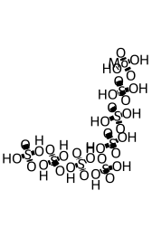 O=S(=O)(O)O.O=S(=O)(O)O.O=S(=O)(O)O.O=S(=O)(O)O.O=S(=O)(O)O.O=S(=O)(O)O.O=S(=O)(O)O.[O]=[Mo](=[O])([OH])[OH]